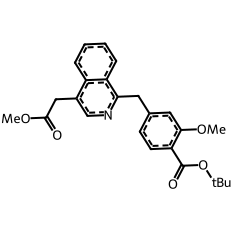 COC(=O)Cc1cnc(Cc2ccc(C(=O)OC(C)(C)C)c(OC)c2)c2ccccc12